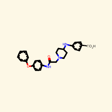 O=C(CN1CCC(Nc2ccc(C(=O)O)cc2)CC1)Nc1ccc(Oc2ccccc2)cc1